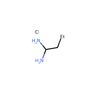 CCCC(N)N.[C]